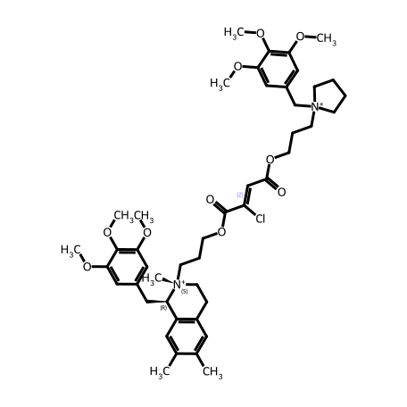 COc1cc(C[C@@H]2c3cc(C)c(C)cc3CC[N@@+]2(C)CCCOC(=O)/C(Cl)=C/C(=O)OCCC[N+]2(Cc3cc(OC)c(OC)c(OC)c3)CCCC2)cc(OC)c1OC